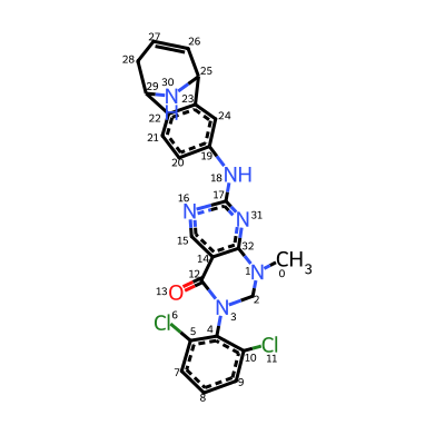 CN1CN(c2c(Cl)cccc2Cl)C(=O)c2cnc(Nc3ccc4c(c3)C3C=CCC4N3)nc21